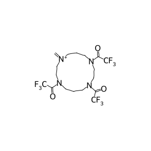 C=[N+]1CCCN(C(=O)C(F)(F)F)CCN(C(=O)C(F)(F)F)CCCN(C(=O)C(F)(F)F)CC1